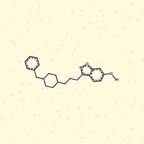 CC(C)Oc1ccc2c(CCCC3CCN(Cc4ccccc4)CC3)noc2c1